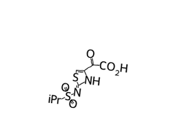 CC(C)S(=O)(=O)/N=c1/[nH]c(C(=O)C(=O)O)cs1